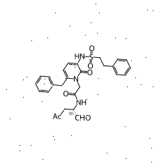 CC(=O)C[C@@H](C=O)NC(=O)Cn1c(Cc2ccccc2)ccc(NS(=O)(=O)CCc2ccccc2)c1=O